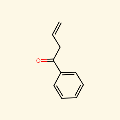 C=CCC(=O)c1cc[c]cc1